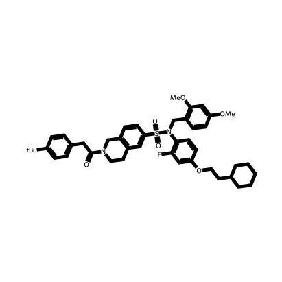 COc1ccc(CN(c2ccc(OCCC3CCCCC3)cc2F)S(=O)(=O)c2ccc3c(c2)CCN(C(=O)Cc2ccc(C(C)(C)C)cc2)C3)c(OC)c1